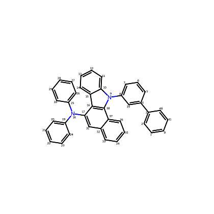 c1ccc(-c2cccc(-n3c4ccccc4c4c(N(c5ccccc5)c5ccccc5)cc5ccccc5c43)c2)cc1